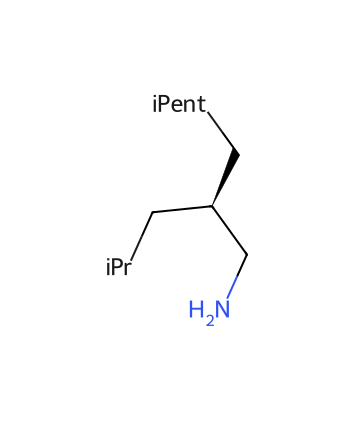 CCCC(C)C[C@@H](CN)CC(C)C